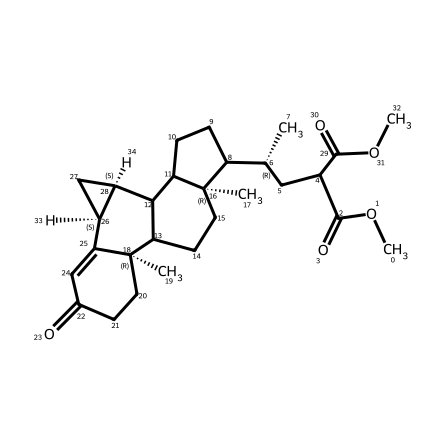 COC(=O)C(C[C@@H](C)C1CCC2C3C(CC[C@@]21C)[C@@]1(C)CCC(=O)C=C1[C@H]1C[C@@H]31)C(=O)OC